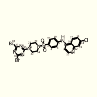 O=S(=O)(c1ccc(Nc2ccnc3cc(Cl)ccc23)cc1)N1CCN(c2nc(Br)nc(Br)n2)CC1